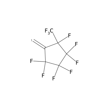 [C]=C1C(F)(F)C(F)(F)C(F)(F)C1(F)C(F)(F)F